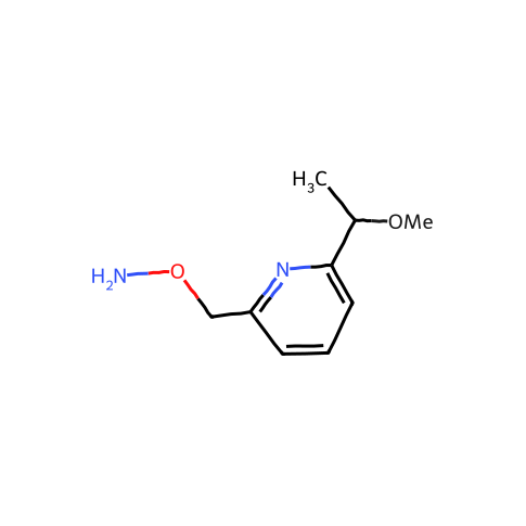 COC(C)c1cccc(CON)n1